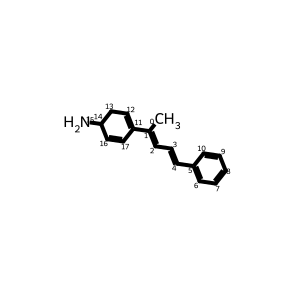 C/C(=C\C=C\c1ccccc1)C1=CCC(N)C=C1